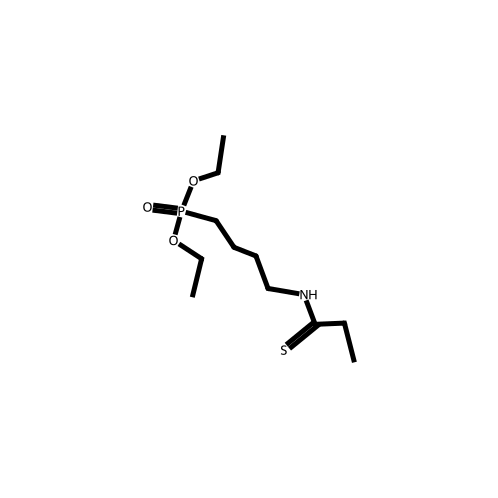 CCOP(=O)(CCCCNC(=S)CC)OCC